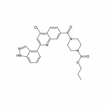 CCCOC(=O)N1CCN(C(=O)c2ccc3c(Cl)cc(-c4cccc5[nH]ncc45)nc3c2)CC1